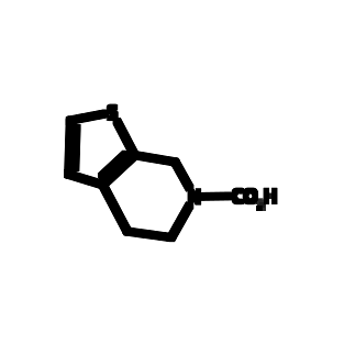 O=C(O)N1CCc2ccsc2C1